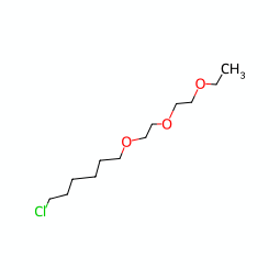 CCOCCOCCOCCCCCCCl